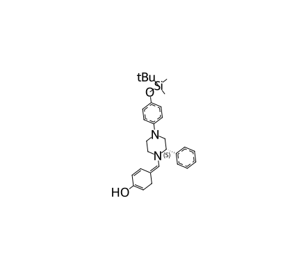 CC(C)(C)[Si](C)(C)Oc1ccc(N2CCN(C=C3C=CC(O)=CC3)[C@@H](c3ccccc3)C2)cc1